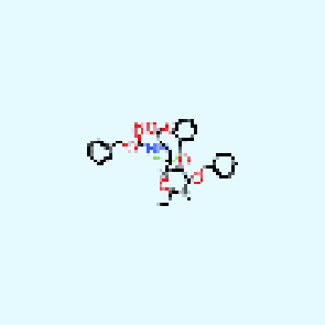 CC[C@H]1O[C@@](C)(C(F)(F)CC(NC(=O)OCc2ccccc2)C(=O)O)[C@H](OCc2ccccc2)[C@@H](OCc2ccccc2)[C@H]1C